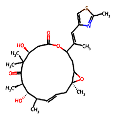 C/C(=C\c1csc(C)n1)C1CC2O[C@@]2(C)C/C=C/C(C)[C@H](O)[C@@H](C)C(=O)C(C)(C)[C@@H](O)CC(=O)O1